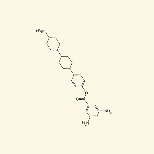 CCCCCC1CCC(C2CCC(c3ccc(OC(=O)c4cc(N)cc(N)c4)cc3)CC2)CC1